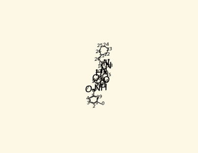 Cc1cccc(C(=O)N[C@H]2CO[C@H]3[C@@H]2OC[C@@H]3n2cc(CC3CCCCC3)nn2)c1